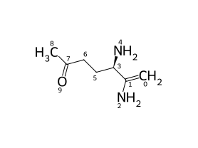 C=C(N)[C@H](N)CCC(C)=O